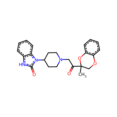 CC1(C(=O)CN2CCC(n3c(=O)[nH]c4ccccc43)CC2)COc2ccccc2O1